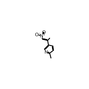 CC(=C[N+](=O)[O-])c1ccc(C)nc1